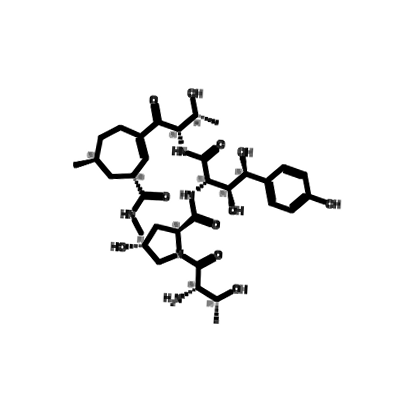 CNC(=O)[C@H]1C=C(C(=O)[C@@H](NC(=O)[C@@H](NC(=O)[C@@H]2C[C@@H](O)CN2C(=O)[C@@H](N)[C@@H](C)O)[C@H](O)[C@@H](O)c2ccc(O)cc2)[C@@H](C)O)CC[C@H](C)C1